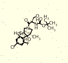 Cc1cc(Cl)cc(F)c1C1(O)[C@H](C)CN(C(=O)[C@@H](CO)NC(=O)OC(C)(C)C)C[C@@H]1C